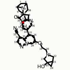 CN1CCC(N2C3CC2CN(c2ccc(-c4cc(OCCN5CC6CC6(O)C5)cn5ncc(C#N)c45)cn2)C3)C1=O